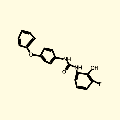 O=C(Nc1ccc(Oc2ccccc2)cc1)Nc1cccc(F)c1O